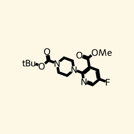 COC(=O)c1cc(F)cnc1N1CCN(C(=O)OC(C)(C)C)CC1